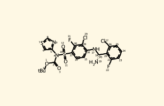 CC(C)(C)OC(=O)N(c1cscn1)S(=O)(=O)c1ccc(N[C@@H](N)c2c(F)cccc2Cl)c(Cl)c1F